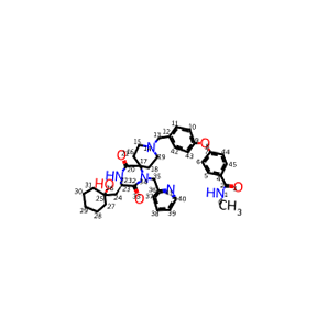 CNC(=O)c1ccc(Oc2ccc(CN3CCC4(CC3)C(=O)N[C@H](CC3(O)CCCCC3)C(=O)N4Cc3ccccn3)cc2)cc1